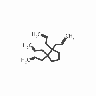 C=C[CH]C1(CC=C)CCCC1(CC=C)CC=C